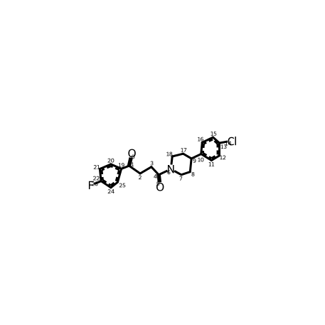 O=C(CCC(=O)N1CCC(c2ccc(Cl)cc2)CC1)c1ccc(F)cc1